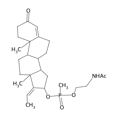 CC=C1C(OP(C)(=O)OCCNC(C)=O)CC2C3CCC4=CC(=O)CCC4(C)C3CCC12C